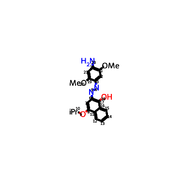 COc1cc(N=Nc2cc(OC(C)C)c3ccccc3c2O)c(OC)cc1N